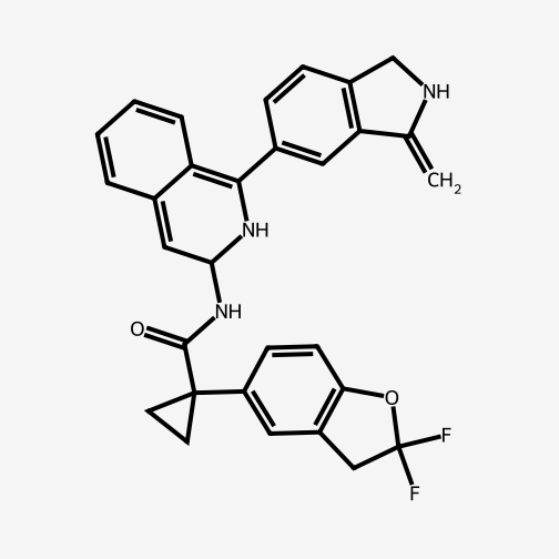 C=C1NCc2ccc(C3=c4ccccc4=CC(NC(=O)C4(c5ccc6c(c5)CC(F)(F)O6)CC4)N3)cc21